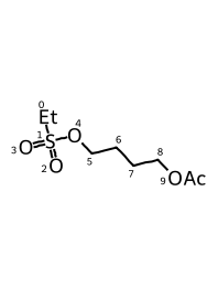 CCS(=O)(=O)OCCCCOC(C)=O